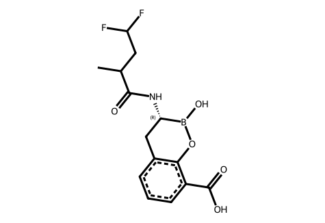 CC(CC(F)F)C(=O)N[C@H]1Cc2cccc(C(=O)O)c2OB1O